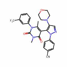 Cc1c(-c2c(N3CCOCC3)cnn2-c2ccc(C#N)cc2)c(=O)n(C)c(=O)n1-c1cccc(C(F)(F)F)c1